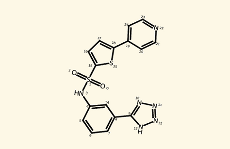 O=S(=O)(Nc1cccc(-c2nnn[nH]2)c1)c1ccc(-c2ccncc2)s1